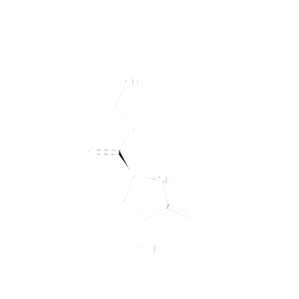 CCOC(=O)[C@@H]1C[C@@H](O)C(=O)N1